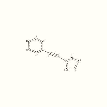 C(#Cc1nc[c]s1)c1ccccc1